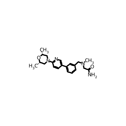 C[C@@H]1CN(c2ccc(-c3cccc(CN(C)CC(N)=O)c3)cn2)C[C@H](C)O1